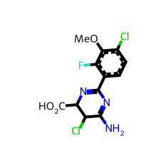 COc1c(Cl)ccc(C2=NC(C(=O)O)C(Cl)C(N)=N2)c1F